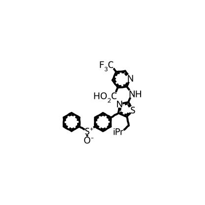 CC(C)Cc1sc(Nc2ncc(C(F)(F)F)cc2C(=O)O)nc1-c1ccc([S+]([O-])c2ccccc2)cc1